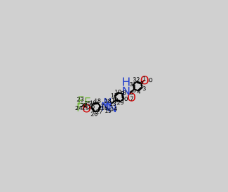 COc1ccc(C(=O)Nc2ccc(-c3ncn(-c4ccc(OC(F)(F)F)cc4)n3)cc2)cc1